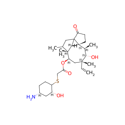 C=C[C@]1(C)C[C@@H](OC(=O)CSC2CC[C@@H](N)C[C@H]2O)[C@]2(C)C(C)CC34C(=O)CC[C@@]3([C@@H](C)[C@@H]1O)[C@@H]42